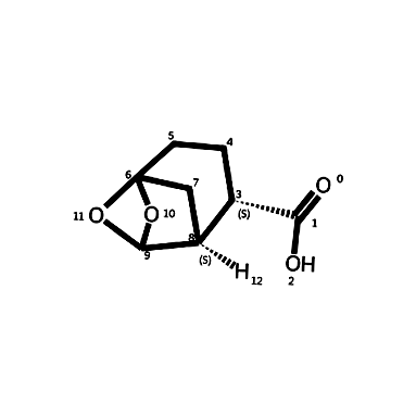 O=C(O)[C@H]1CCC23C[C@@H]1C(O2)O3